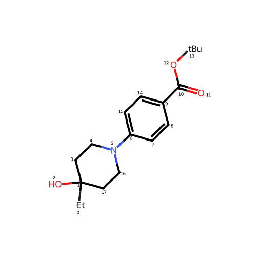 CCC1(O)CCN(c2ccc(C(=O)OC(C)(C)C)cc2)CC1